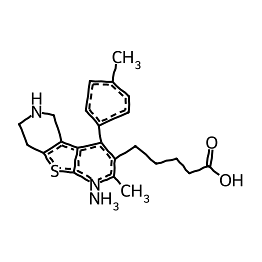 Cc1ccc(-c2c(CCCCC(=O)O)c(C)nc3sc4c(c23)CNCC4)cc1.N